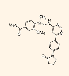 CNC(=O)c1ccc([C@H](C)CNc2cc(-c3ccc(N4CCCC4=O)cc3)ncn2)c(OC)c1